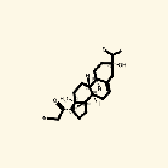 C[C@]12CC[C@H]3[C@@H](CC=C4C[C@](O)(C(F)F)CC[C@@H]43)[C@@H]1CC[C@@H]2C(=O)CBr